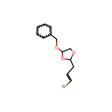 BrC=CCC1OCC(OCc2ccccc2)O1